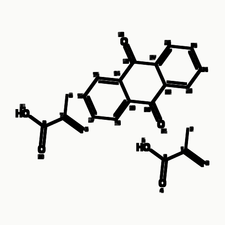 C=C(C)C(=O)O.C=C(C)C(=O)O.O=C1c2ccccc2C(=O)c2ccccc21